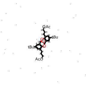 CC(=O)OCCCc1cc(C(C)(C)C)cc2c1OC1OC2Oc2c(CCCOC(C)=O)cc(C(C)(C)C)cc21